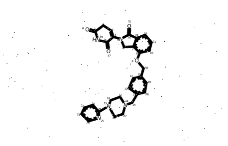 O=C1CC=C(N2Cc3c(OCc4ccc(CN5CCN(c6ccccn6)CC5)cc4)cccc3C2=O)C(=O)N1